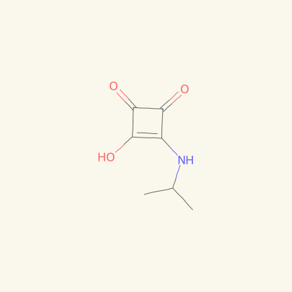 CC(C)Nc1c(O)c(=O)c1=O